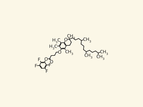 Cc1c(C)c2c(c(C)c1OCCCC(=O)Oc1c(F)c(F)cc(F)c1F)CCC(C)(CCCC(C)CCCC(C)CCCC(C)C)O2